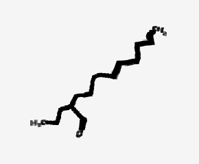 C=CCCCCCCCC(C=O)CCC